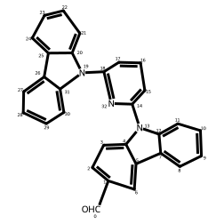 O=Cc1ccc2c(c1)c1ccccc1n2-c1cccc(-n2c3ccccc3c3ccccc32)n1